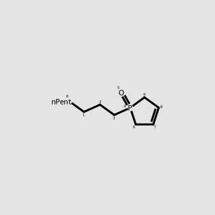 CCCCCCCCP1(=O)CC=CC1